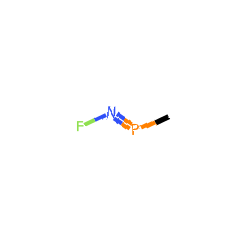 C/P=N/F